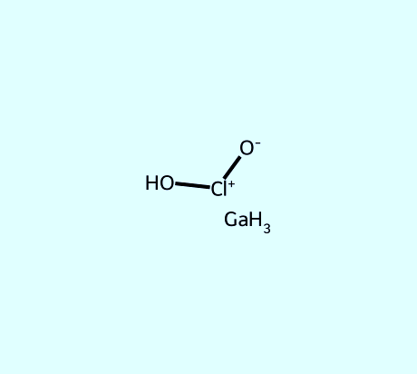 [GaH3].[O-][Cl+]O